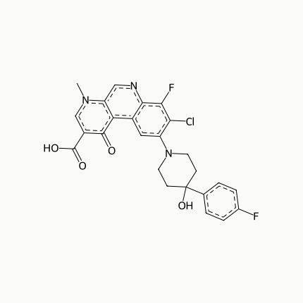 Cn1cc(C(=O)O)c(=O)c2c3cc(N4CCC(O)(c5ccc(F)cc5)CC4)c(Cl)c(F)c3ncc21